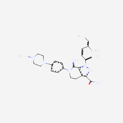 C=C(/C=C\C(=C/C)NC)n1nc(C(N)=O)c2c1C(=N)N(c1ccc(N3CCN(C)CC3)cc1)CC2